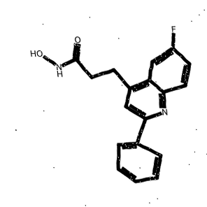 O=C(CCc1cc(-c2ccccc2)nc2ccc(F)cc12)NO